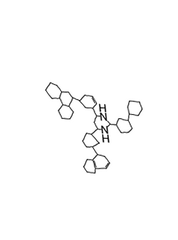 C1=CC(C2CC(C3CCCC(C4CC=CC5=C4CCCC5)C3)NC(C3CCCC(C4CCCCC4)C3)N2)CC(C2CC3CCCCC3C3CCCCC23)C1